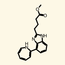 COC(=O)CCCc1nc2c(C3=CC=CC=CN3)cccc2[nH]1